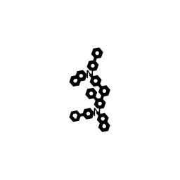 C1=CCCC(c2ccc(N(c3ccc(-c4cccc(-c5ccc(N(c6ccc(-c7ccccc7)cc6)c6ccc7ccccc7c6)cc5)c4)c(-c4ccccc4)c3)c3ccc4ccccc4c3)cc2)=C1